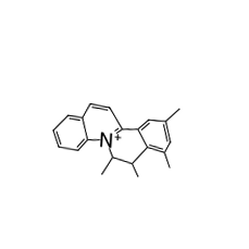 Cc1cc(C)c2c(c1)-c1ccc3ccccc3[n+]1C(C)C2C